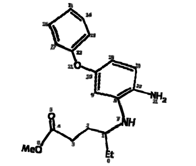 CCC(CCC(=O)OC)Nc1cc(Oc2ccccc2)ccc1N